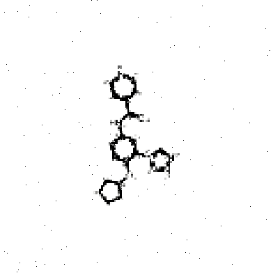 O=C(Nc1ccc(OC2CCCC2)c(-n2cnnn2)c1)c1ccncc1